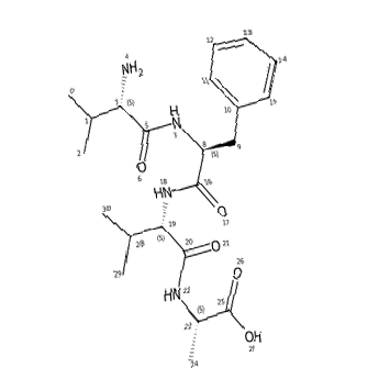 CC(C)[C@H](N)C(=O)N[C@@H](Cc1ccccc1)C(=O)N[C@H](C(=O)N[C@@H](C)C(=O)O)C(C)C